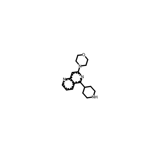 c1cnc2cc(N3CCOCC3)nc(C3CCNCC3)c2c1